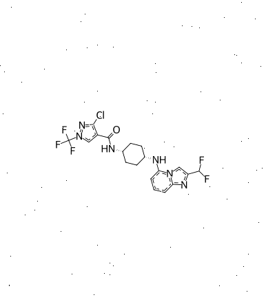 O=C(N[C@H]1CC[C@@H](Nc2cccc3nc(C(F)F)cn23)CC1)c1cn(C(F)(F)F)nc1Cl